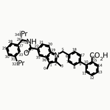 Cc1c(C)n(Cc2ccc(-c3ccccc3C(=O)O)cc2)c2ccc(C(=O)N[C@H](c3cccc(C(C)C)c3)C(C)C)cc12